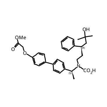 COC(=O)COc1ccc(-c2ccc([C@H](C)N(CC[C@H](CC(C)(C)O)c3ccccc3)C(=O)O)cc2)cc1